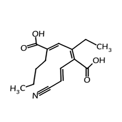 CCCCC(=CC(CC)=C(C=CC#N)C(=O)O)C(=O)O